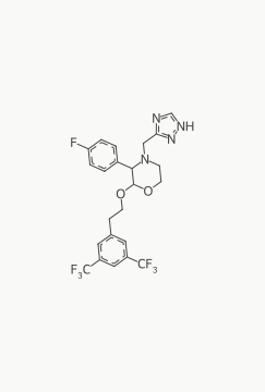 Fc1ccc(C2C(OCCc3cc(C(F)(F)F)cc(C(F)(F)F)c3)OCCN2Cc2nc[nH]n2)cc1